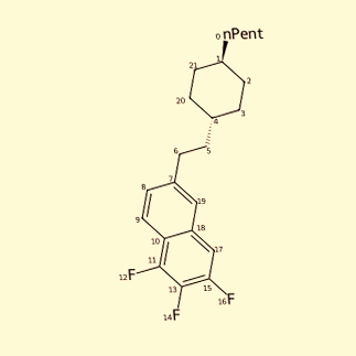 CCCCC[C@H]1CC[C@H](CCc2ccc3c(F)c(F)c(F)cc3c2)CC1